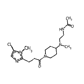 CC(=O)NCCN(C)C1CCN(C(=O)CCc2ncc(Cl)n2C)CC1